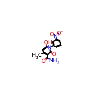 Cc1cc(O)n(-c2cccc([N+](=O)[O-])c2)c(=O)c1C(N)=O